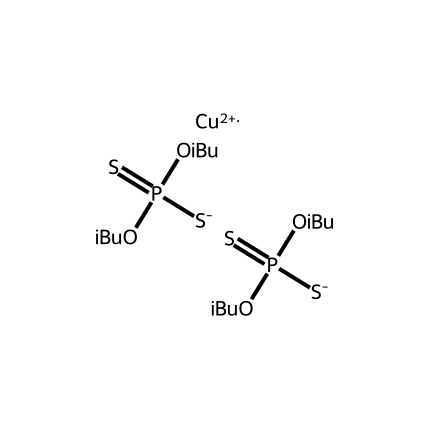 CC(C)COP(=S)([S-])OCC(C)C.CC(C)COP(=S)([S-])OCC(C)C.[Cu+2]